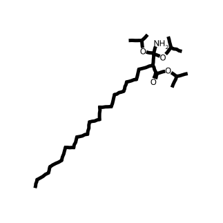 CCCCCCCCCCCCCCCCCCC(C(=O)OC(C)C)C(N)(OC(C)C)OC(C)C